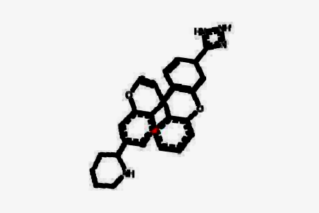 C1=CC(c2n[nH][nH]2)CC2=C1C1(c3ccccc3O2)c2ccccc2Oc2cc(C3CCCCN3)ccc21